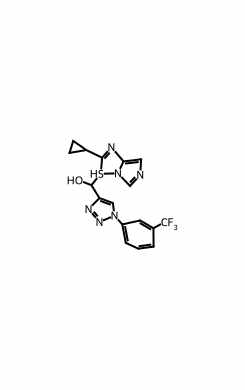 OC(c1cn(-c2cccc(C(F)(F)F)c2)nn1)[SH]1C(C2CC2)=Nc2cncn21